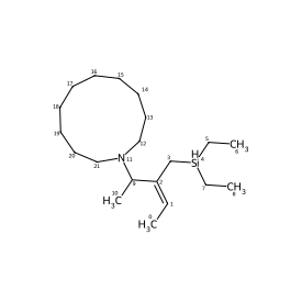 C/C=C(/C[SiH](CC)CC)C(C)N1CCCCCCCCCC1